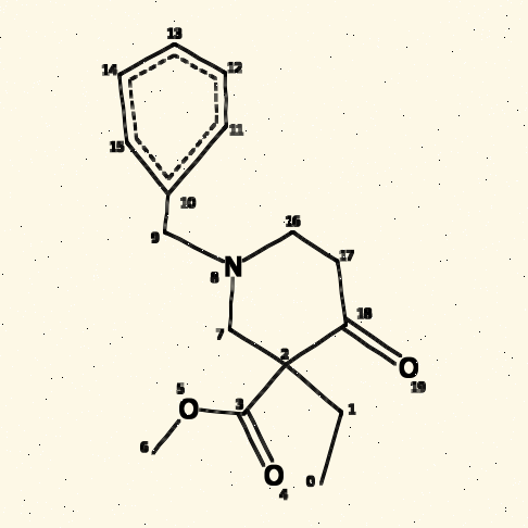 CCC1(C(=O)OC)CN(Cc2ccccc2)CCC1=O